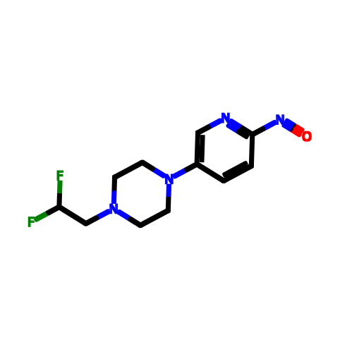 O=Nc1ccc(N2CCN(CC(F)F)CC2)cn1